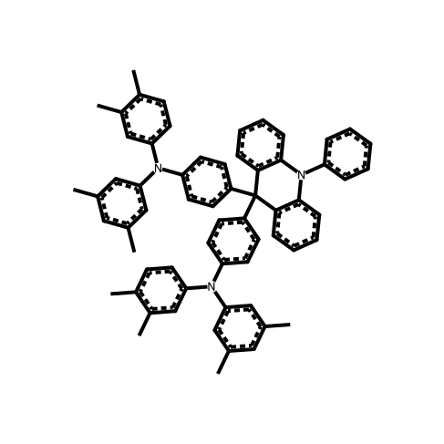 Cc1cc(C)cc(N(c2ccc(C3(c4ccc(N(c5cc(C)cc(C)c5)c5ccc(C)c(C)c5)cc4)c4ccccc4N(c4ccccc4)c4ccccc43)cc2)c2ccc(C)c(C)c2)c1